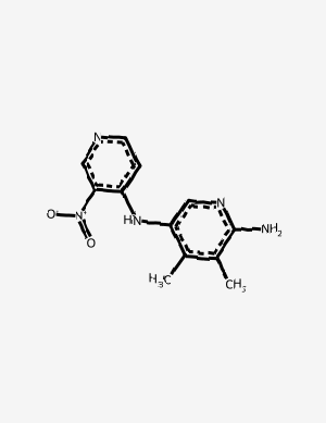 Cc1c(Nc2ccncc2[N+](=O)[O-])cnc(N)c1C